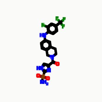 NS(=O)(=O)c1nc(C(=O)N2CCc3cc(Nc4ccc(C(F)(F)F)cc4F)ccc3C2)c[nH]1